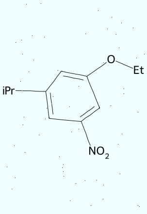 [CH2]C(C)c1cc(OCC)cc([N+](=O)[O-])c1